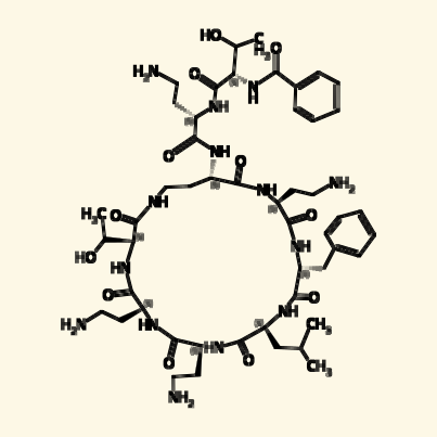 CC(C)C[C@@H]1NC(=O)[C@@H](Cc2ccccc2)NC(=O)[C@H](CCN)NC(=O)[C@@H](NC(=O)[C@H](CCN)NC(=O)[C@@H](NC(=O)c2ccccc2)C(C)O)CCNC(=O)[C@H](C(C)O)NC(=O)[C@H](CCN)NC(=O)[C@H](CCN)NC1=O